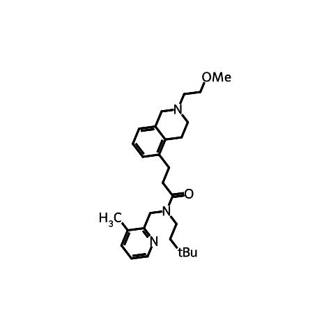 COCCN1CCc2c(CCC(=O)N(CCC(C)(C)C)Cc3ncccc3C)cccc2C1